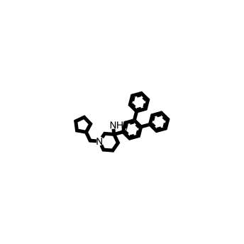 NC1(c2ccc(-c3ccccc3)c(-c3ccccc3)c2)CCCN(CC2CCCC2)C1